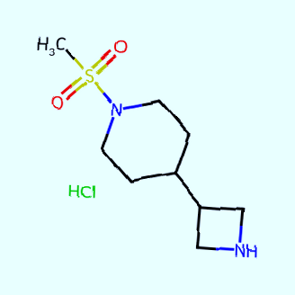 CS(=O)(=O)N1CCC(C2CNC2)CC1.Cl